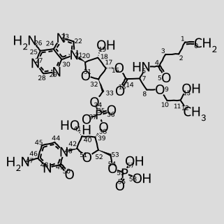 C=CCCC(=O)NC(COCC(C)O)C(=O)O[C@H]1[C@@H](O)[C@H](n2cnc3c(N)ncnc32)O[C@@H]1COP(=O)(O)O[C@H]1[C@@H](O)[C@H](n2ccc(N)nc2=O)O[C@@H]1COP(=O)(O)O